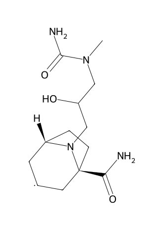 CN(CC(O)CN1[C@@H]2C[CH]C[C@@]1(C(N)=O)CC2)C(N)=O